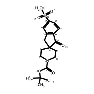 CC(C)(C)OC(=O)N1CCC2(CC1)Cc1cc(S(C)(=O)=O)ccc1C2=O